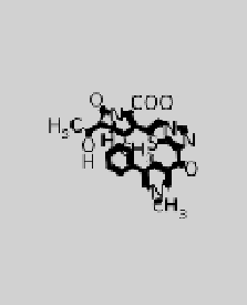 C[C@@H](O)[C@H]1C(=O)N2C(C(=O)[O-])=C(c3cn4cnc(C(=O)c5cc(-c6ccccc6)c[n+](C)c5)c4s3)[C@H](C)[C@H]12